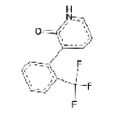 O=c1[nH]cccc1-c1ccccc1C(F)(F)F